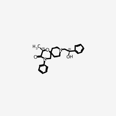 C[C@H]1OC2(CCN(C[C@H](O)c3ccccc3)CC2)CN(c2ccccc2)C1=O